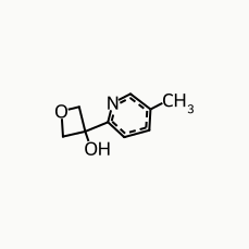 Cc1ccc(C2(O)COC2)nc1